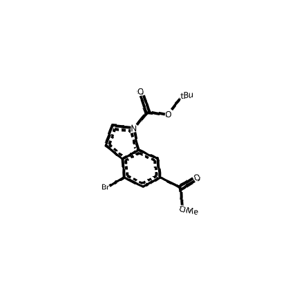 COC(=O)c1cc(Br)c2ccn(C(=O)OC(C)(C)C)c2c1